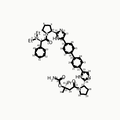 CCN(CC)[C@@H](C(=O)N1CCC[C@H]1c1ncc(-c2ccc(-c3ccc(-c4cnc([C@@H]5CCCN5C(=O)C[C@@](C)(OC(N)=O)C(C)C)[nH]4)cc3)cc2)[nH]1)c1ccccc1